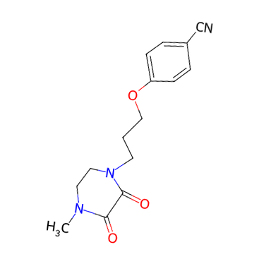 CN1CCN(CCCOc2ccc(C#N)cc2)C(=O)C1=O